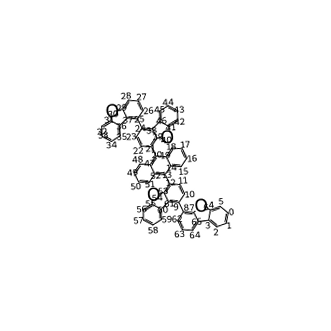 c1ccc2c(c1)oc1c(-c3ccc(-c4c5ccccc5c(-c5ccc(-c6cccc7oc8ccccc8c67)c6c5oc5ccccc56)c5ccccc45)c4oc5ccccc5c34)cccc12